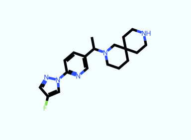 CC(c1ccc(-n2cc(F)cn2)nc1)N1CCCC2(CCNCC2)C1